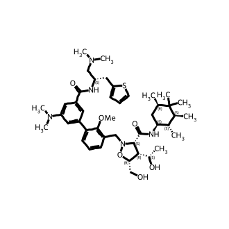 COc1c(CN2O[C@@H](CO)[C@@H]([C@H](C)O)[C@H]2C(=O)N[C@H]2C[C@@H](C)C(C)(C)[C@@H](C)[C@@H]2C)cccc1-c1cc(C(=O)N[C@@H](Cc2cccs2)CN(C)C)cc(N(C)C)c1